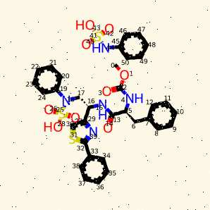 COC(=O)N[C@@H](Cc1ccccc1)C(=O)N[C@@H](CN(c1ccccc1)S(=O)(=O)O)c1csc(-c2ccccc2)n1.O=S(=O)(O)Nc1ccccc1